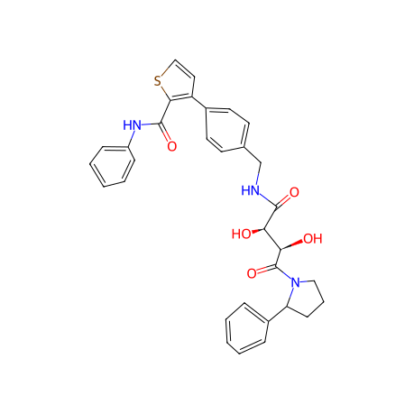 O=C(Nc1ccccc1)c1sccc1-c1ccc(CNC(=O)[C@H](O)[C@@H](O)C(=O)N2CCCC2c2ccccc2)cc1